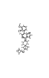 COc1cccc(-c2c(C)nc(N3CCC4(CC[C@H](OC5COC5)C4)CC3)n3ccnc23)c1Cl